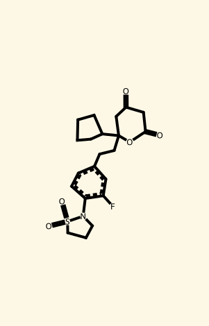 O=C1CC(=O)OC(CCc2ccc(N3CCCS3(=O)=O)c(F)c2)(C2CCCC2)C1